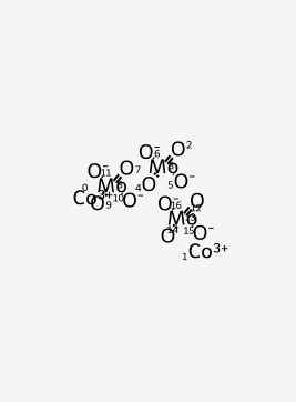 [Co+3].[Co+3].[O]=[Mo](=[O])([O-])[O-].[O]=[Mo](=[O])([O-])[O-].[O]=[Mo](=[O])([O-])[O-]